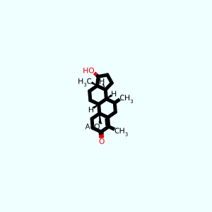 CC(=O)OC[C@]12CCC(=O)C(C)=C1CC(C)[C@@H]1[C@H]2CC[C@]2(C)C(O)CC[C@@H]12